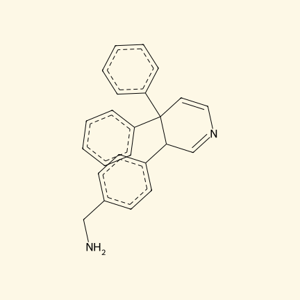 NCc1ccc(C2C=NC=CC2(c2ccccc2)c2ccccc2)cc1